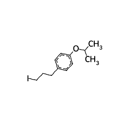 CC(C)Oc1ccc(CCCI)cc1